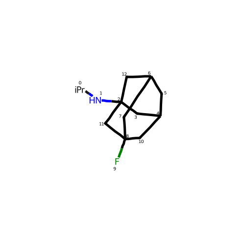 CC(C)NC12CC3CC(CC(F)(C3)C1)C2